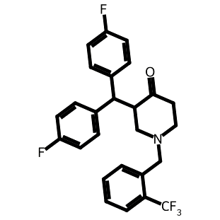 O=C1CCN(Cc2ccccc2C(F)(F)F)CC1C(c1ccc(F)cc1)c1ccc(F)cc1